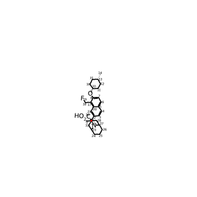 CC(c1ccc2ccc(O[C@H]3CC[C@@H](C)CC3)c(CF)c2c1)N1C2CCCC1CC(C(=O)O)C2